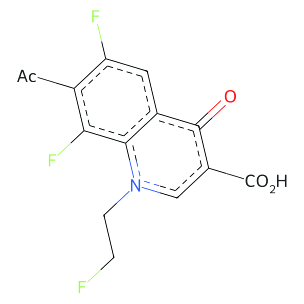 CC(=O)c1c(F)cc2c(=O)c(C(=O)O)cn(CCF)c2c1F